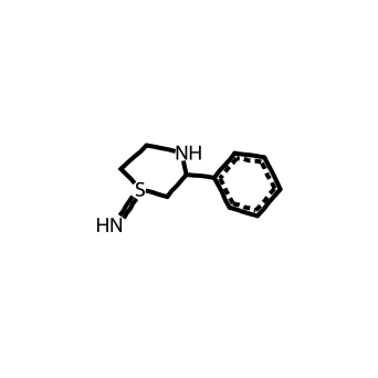 N=S1CCNC(c2ccccc2)C1